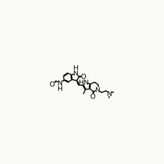 Cc1c(C=C2C(=O)Nc3ccc(NC=O)cc32)[nH]c2c1C(=O)N(CCN(C)C)CC2